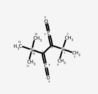 C[Si](C)(C)C(=C=O)C(=C=O)[Si](C)(C)C